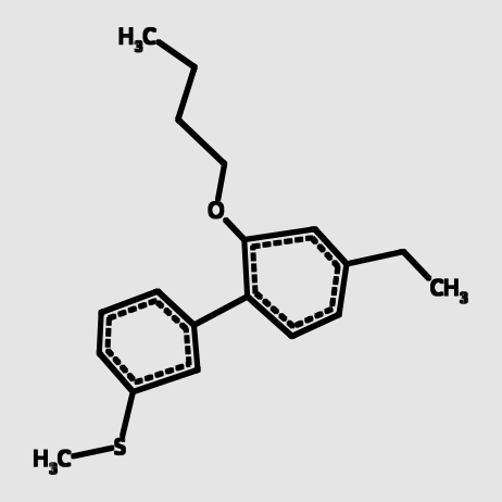 CCCCOc1cc(CC)ccc1-c1cccc(SC)c1